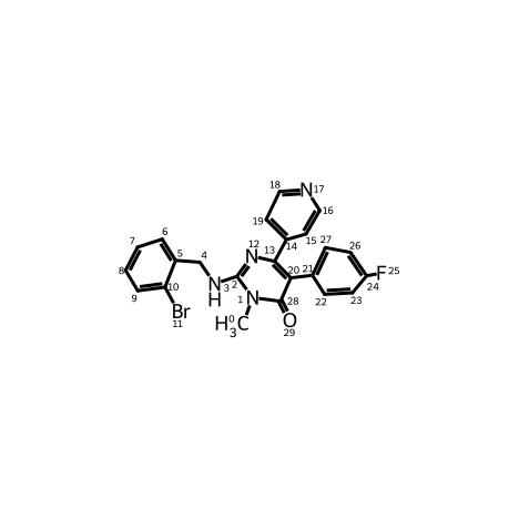 Cn1c(NCc2ccccc2Br)nc(-c2ccncc2)c(-c2ccc(F)cc2)c1=O